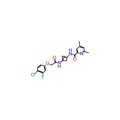 Cc1cc(C)nc(C(=O)NC23CC(NC(=O)COc4ccc(Cl)c(F)c4)(C2)C3)c1